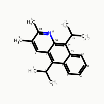 Cc1cc2c(C(C)C)c3ccccc3c(C(C)C)c2nc1C